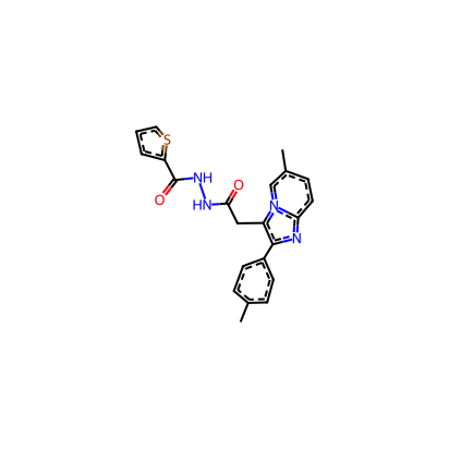 Cc1ccc(-c2nc3ccc(C)cn3c2CC(=O)NNC(=O)c2cccs2)cc1